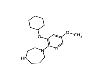 COc1cnc(N2CCCNCC2)c(OC2CCCCC2)c1